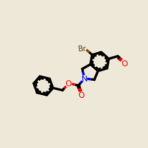 O=Cc1cc(Br)c2c(c1)CN(C(=O)OCc1ccccc1)C2